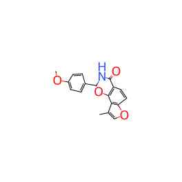 COc1ccc(C2NC(=O)c3ccc4occ(C)c4c3O2)cc1